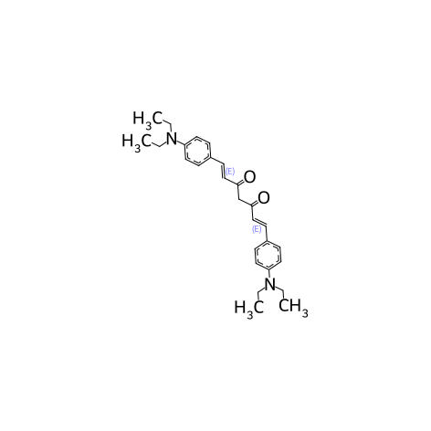 CCN(CC)c1ccc(/C=C/C(=O)CC(=O)/C=C/c2ccc(N(CC)CC)cc2)cc1